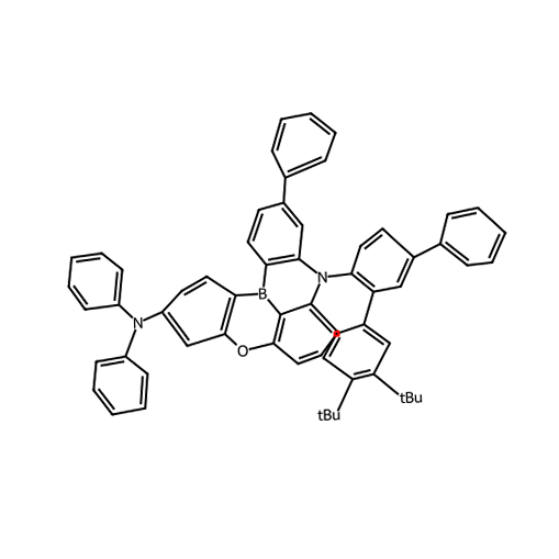 CC(C)(C)c1ccc(-c2cc(-c3ccccc3)ccc2N2c3cc(-c4ccccc4)ccc3B3c4ccc(N(c5ccccc5)c5ccccc5)cc4Oc4cccc2c43)cc1C(C)(C)C